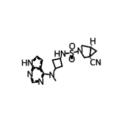 CN(c1ncnc2[nH]ccc12)C1CC(NS(=O)(=O)N2C[C@H]3C[C@@]3(C#N)C2)C1